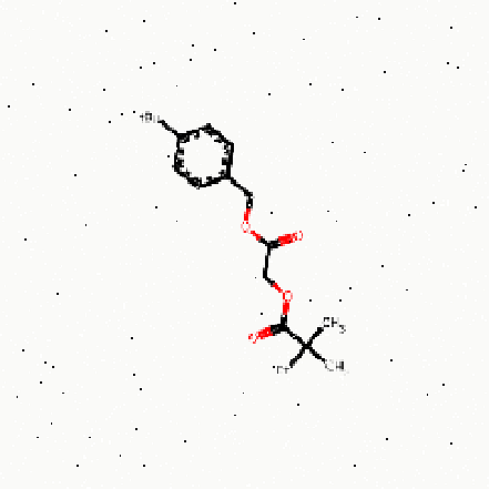 CCC(C)(C)C(=O)OCC(=O)OCc1ccc(C(C)(C)C)cc1